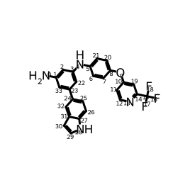 Nc1cc(Nc2ccc(Oc3ccnc(C(F)(F)F)c3)cc2)cc(-c2ccc3[nH]ccc3c2)c1